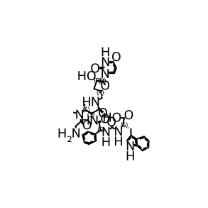 C[C@@H]([C@H](NC(=O)[C@@H](NC(=O)N[C@@H](Cc1c[nH]c2ccccc12)C(=O)O)c1ccccc1)C(=O)NC[C@H]1C[C@@H](O)[C@H](n2ccc(=O)[nH]c2=O)O1)N(C)C(=O)CN